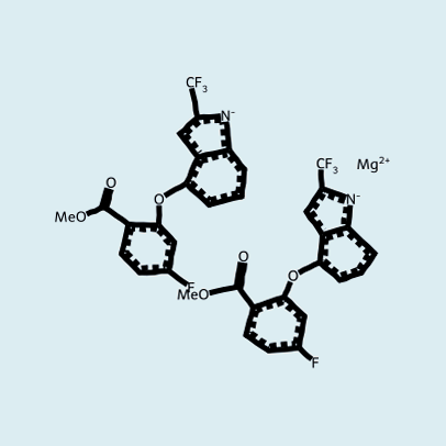 COC(=O)c1ccc(F)cc1Oc1cccc2[n-]c(C(F)(F)F)cc12.COC(=O)c1ccc(F)cc1Oc1cccc2[n-]c(C(F)(F)F)cc12.[Mg+2]